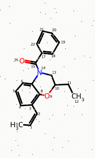 C/C=C\c1cccc2c1OC(CC)CN2C(=O)c1ccccc1